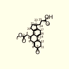 COC(=O)C[C@@H]1CC2=CC(=O)CC[C@]2(C)C2=CCC3=C(CC[C@@]3(C)CCC(=O)O)C21